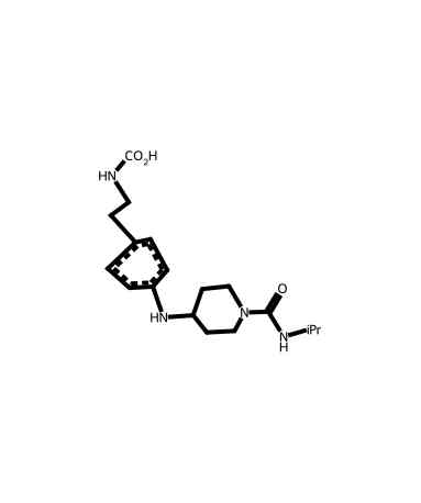 CC(C)NC(=O)N1CCC(Nc2ccc(CCNC(=O)O)cc2)CC1